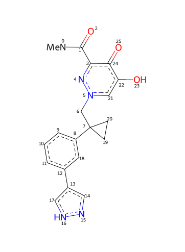 CNC(=O)c1nn(CC2(c3cccc(-c4cn[nH]c4)c3)CC2)cc(O)c1=O